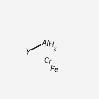 [AlH2][Y].[Cr].[Fe]